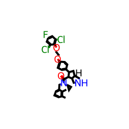 Cc1cccc(CN(C(=O)C2C(c3ccc(OCCOc4c(Cl)cc(F)cc4Cl)cc3)C[C@H]3CNCC23)C2CC2)c1C